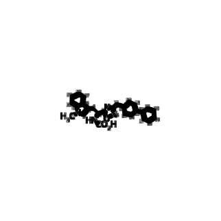 Cn1cc(C[C@H](NC(=O)O)c2nc(Cc3ccc(-c4ccccc4)cc3)no2)c2ccccc21